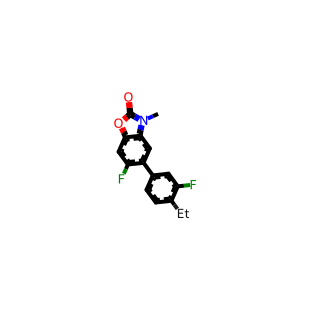 CCc1ccc(-c2cc3c(cc2F)oc(=O)n3C)cc1F